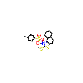 CSC1Sc2ccc3ccccc3c2[N+]1(C)OS(=O)(=O)c1ccc(C)cc1